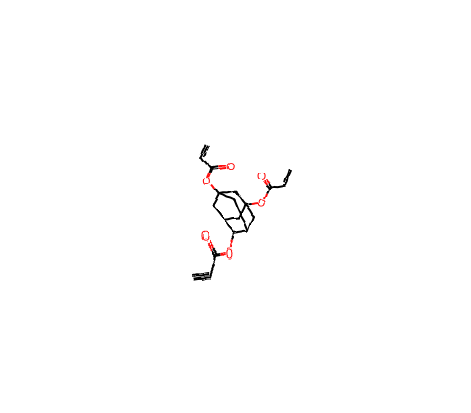 C=CC(=O)OC1C2CC3(OC(=O)C=C)CC1CC(OC(=O)C=C)(C2)C3